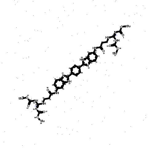 CC(C)(C)OC(=O)/N=C(/NCCC(=O)Nc1ccc2nc(-c3ccc(-c4nc5ccc(NC(=O)CCN/C(=N\C(=O)OC(C)(C)C)NC(=O)OC(C)(C)C)cc5[nH]4)cc3)[nH]c2c1)NC(=O)OC(C)(C)C